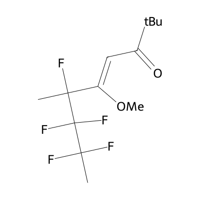 CO/C(=C\C(=O)C(C)(C)C)C(C)(F)C(F)(F)C(C)(F)F